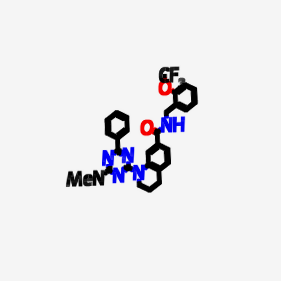 CNc1nc(-c2ccccc2)nc(N2CCCc3ccc(C(=O)NCc4ccccc4OC(F)(F)F)cc32)n1